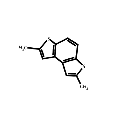 Cc1cc2c(ccc3sc(C)cc32)s1